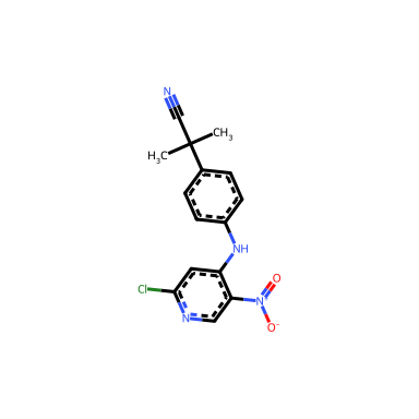 CC(C)(C#N)c1ccc(Nc2cc(Cl)ncc2[N+](=O)[O-])cc1